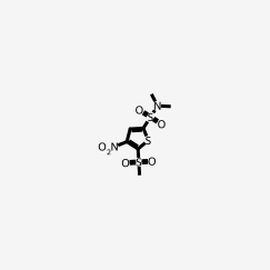 CN(C)S(=O)(=O)c1cc([N+](=O)[O-])c(S(C)(=O)=O)s1